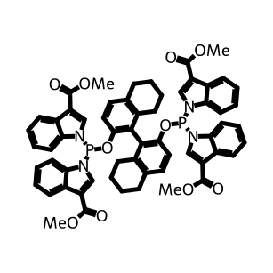 COC(=O)c1cn(P(Oc2ccc3c(c2-c2c(OP(n4cc(C(=O)OC)c5ccccc54)n4cc(C(=O)OC)c5ccccc54)ccc4c2CCCC4)CCCC3)n2cc(C(=O)OC)c3ccccc32)c2ccccc12